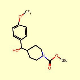 CC(C)(C)OC(=O)N1CCC(C(O)c2ccc(OC(F)(F)F)cc2)CC1